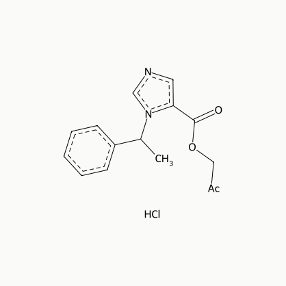 CC(=O)COC(=O)c1cncn1C(C)c1ccccc1.Cl